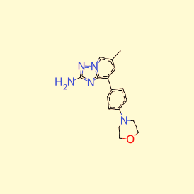 Cc1cc(-c2ccc(N3CCOCC3)cc2)c2nc(N)nn2c1